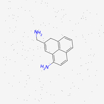 NCC1=Cc2c(N)ccc3cccc(c23)C1